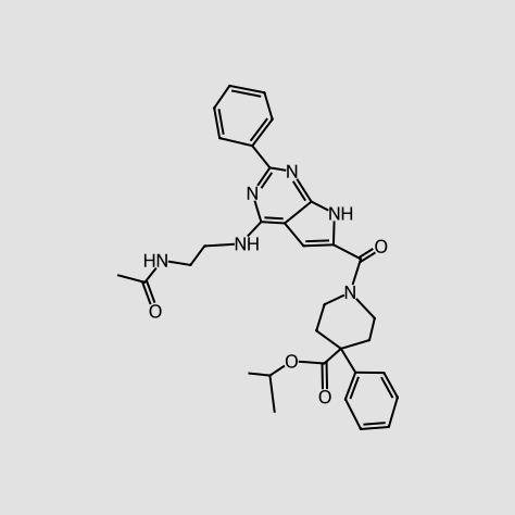 CC(=O)NCCNc1nc(-c2ccccc2)nc2[nH]c(C(=O)N3CCC(C(=O)OC(C)C)(c4ccccc4)CC3)cc12